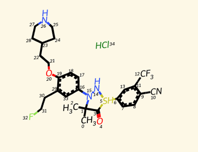 CC1(C)C(=O)[SH](c2ccc(C#N)c(C(F)(F)F)c2)NN1c1ccc(OCCC2CCNCC2)c(CCF)c1.Cl